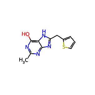 Cc1nc(O)c2[nH]c(Cc3cccs3)nc2n1